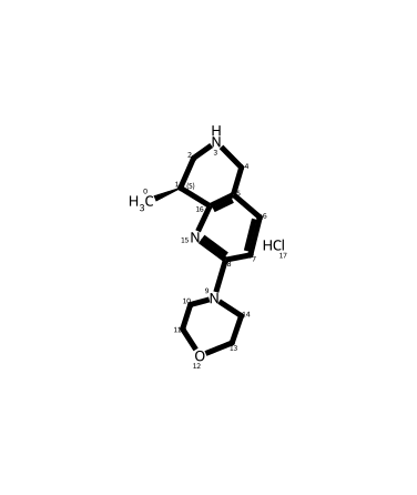 C[C@H]1CNCc2ccc(N3CCOCC3)nc21.Cl